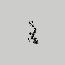 CCCCCCCC/C=C\CCCCCCCC(C)NCCS(=O)(=O)O.[NaH]